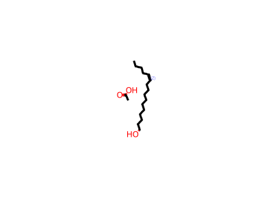 CC(=O)O.CCCC/C=C\CCCCCCCCCCO